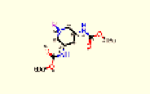 CC(C)(C)OC(=O)N[C@@H]1C[C@H](NC(=O)OC(C)(C)C)CN(I)C1